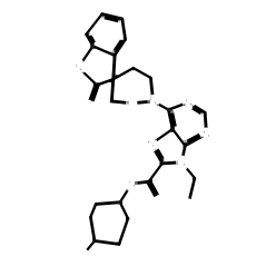 CCn1c(C(=O)NC2CCC(O)CC2)nc2c(N3CCC4(CC3)C(=O)Nc3ccccc34)ncnc21